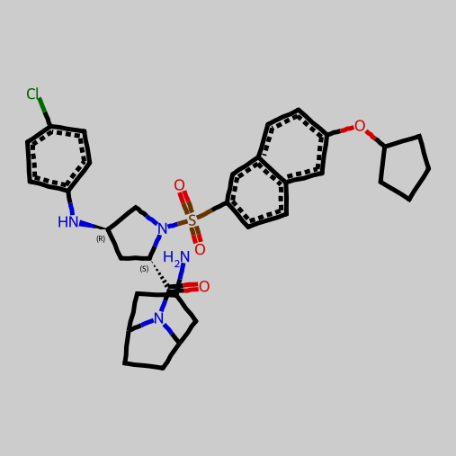 NC1CC2CCC(C1)N2C(=O)[C@@H]1C[C@@H](Nc2ccc(Cl)cc2)CN1S(=O)(=O)c1ccc2cc(OC3CCCC3)ccc2c1